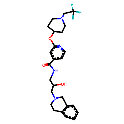 O=C(NCC(O)CN1CCc2ccccc2C1)c1ccnc(OC2CCN(CC(F)(F)F)CC2)c1